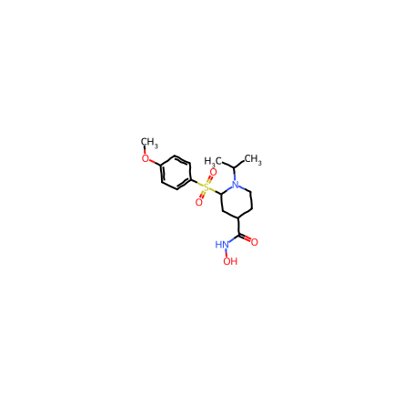 COc1ccc(S(=O)(=O)C2CC(C(=O)NO)CCN2C(C)C)cc1